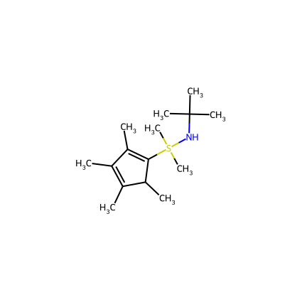 CC1=C(C)C(C)C(S(C)(C)NC(C)(C)C)=C1C